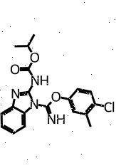 Cc1cc(OC(=N)n2c(NC(=O)OC(C)C)nc3ccccc32)ccc1Cl